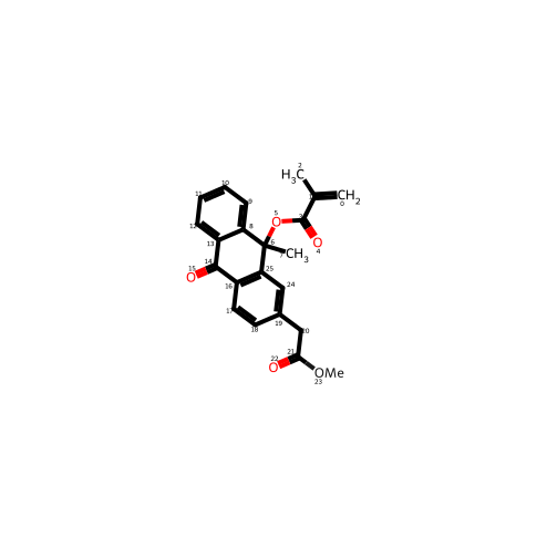 C=C(C)C(=O)OC1(C)c2ccccc2C(=O)c2ccc(CC(=O)OC)cc21